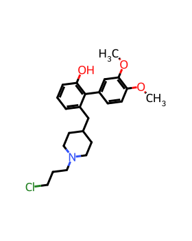 COc1ccc(-c2c(O)cccc2CC2CCN(CCCCl)CC2)cc1OC